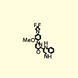 COc1cc(N2CC(F)(F)C2)ccc1-n1ccc(=O)c(/C(=C/C=N)Nc2ccccc2)n1